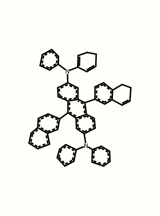 C1=CC(N(c2ccccc2)c2ccc3c(-c4ccc5ccccc5c4)c4cc(N(c5ccccc5)c5ccccc5)ccc4c(-c4ccc5c(c4)C=CCC5)c3c2)=CCC1